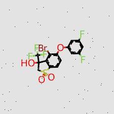 O=S1(=O)CC(O)(C(F)(F)F)c2c1ccc(Oc1cc(F)cc(F)c1)c2Br